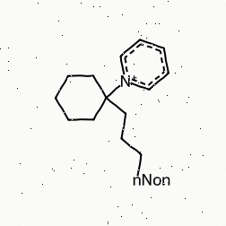 CCCCCCCCCCCCC1([n+]2ccccc2)CCCCC1